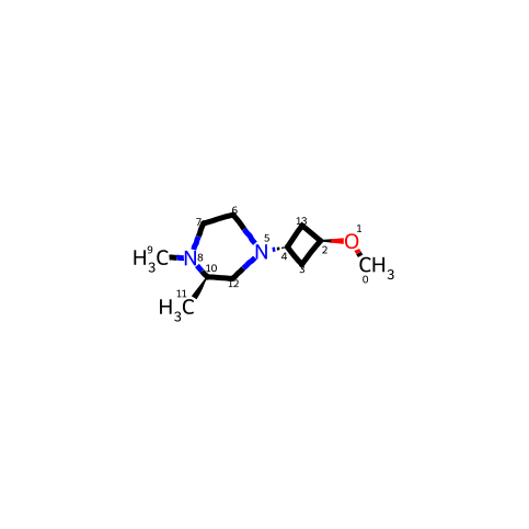 CO[C@H]1C[C@H](N2CCN(C)[C@H](C)C2)C1